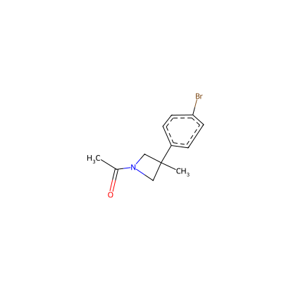 CC(=O)N1CC(C)(c2ccc(Br)cc2)C1